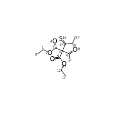 CCOC(=O)C(C(C)=O)(C(=O)OCC)C(=S)CC